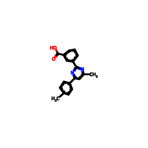 Cc1ccc(-c2cc(C)nc(-c3cccc(C(=O)O)c3)n2)cc1